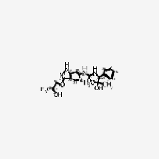 CC(C)(O)[C@@H](NC(=O)Nc1cc2[nH]nc(OC[C@H](O)C(F)(F)F)c2cn1)c1ccccc1